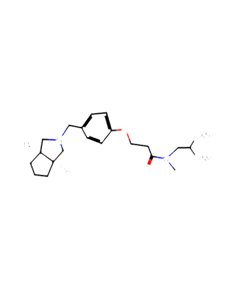 COC(CN(C)C(=O)CCOc1ccc(CN2C[C@H]3CCC[C@H]3C2)cc1)OC